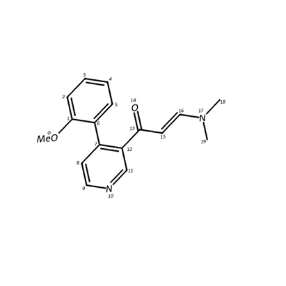 COc1ccccc1-c1ccncc1C(=O)C=CN(C)C